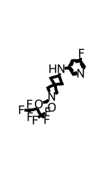 O=C(OC(C(F)(F)F)C(F)(F)F)N1CC2(CC(Nc3cncc(F)c3)C2)C1